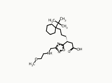 COCCNCc1noc([C@H](CCCC2(C(C)(C)C)CCCCC2)CC(=O)O)n1